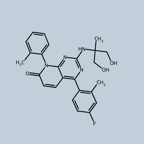 Cc1cc(F)ccc1-c1nc(NC(C)(CO)CO)nc2c1ccc(=O)n2-c1ccccc1C